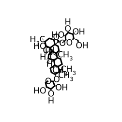 C[C@@H]1CC[C@]2(C(=O)O[C@@H]3O[C@H](CO)[C@@H](O)[C@H](O)[C@H]3O)CC[C@]3(C)C(=CC[C@@H]4[C@@]5(C)CC[C@H](O[C@@H]6OC[C@H](O)[C@H](O)[C@H]6O)C(C)(C)C5CC[C@]43C)[C@@H]2[C@]1(C)O